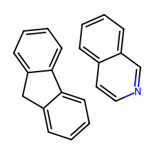 c1ccc2c(c1)Cc1ccccc1-2.c1ccc2cnccc2c1